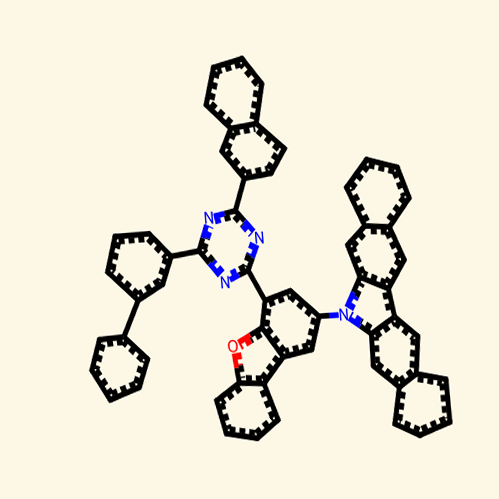 c1ccc(-c2cccc(-c3nc(-c4ccc5ccccc5c4)nc(-c4cc(-n5c6cc7ccccc7cc6c6cc7ccccc7cc65)cc5c4oc4ccccc45)n3)c2)cc1